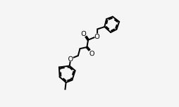 Cc1ccc(OCCC(=O)C(=O)OCc2ccccc2)cc1